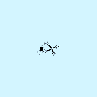 C#N.O[Si](O)(O)O